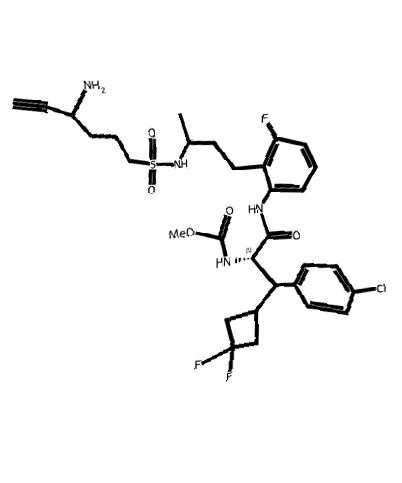 C#CC(N)CCCS(=O)(=O)NC(C)CCc1c(F)cccc1NC(=O)[C@@H](NC(=O)OC)C(c1ccc(Cl)cc1)C1CC(F)(F)C1